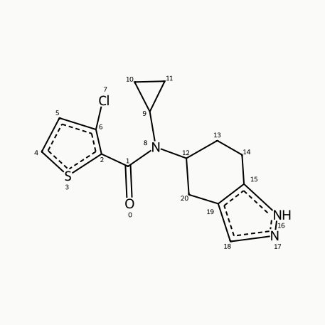 O=C(c1sccc1Cl)N(C1CC1)C1CCc2[nH]ncc2C1